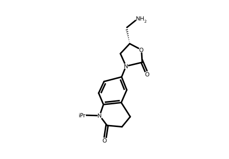 CC(C)N1C(=O)CCc2cc(N3C[C@H](CN)OC3=O)ccc21